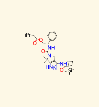 CC(C)CC(=O)OC[C@@H](NC(=O)N1Cc2c(NC(=O)C3([Si](C)(C)C)CCC3)n[nH]c2C1(C)C)c1ccccc1